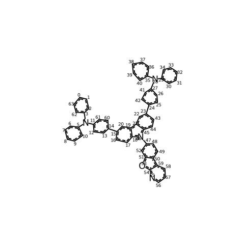 c1ccc(N(c2ccccc2)c2ccc(-c3ccc4c(c3)c3cc(-c5ccc(N(c6ccccc6)c6ccccc6)cc5)ccc3n4-c3ccc4c(c3)oc3ncccc34)cc2)cc1